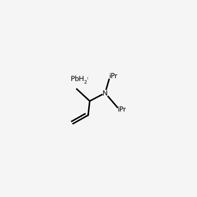 C=CC(C)N(C(C)C)C(C)C.[PbH2]